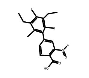 CCc1c(I)c(CC)c(I)c(-c2ccc(C(=O)O)c([N+](=O)[O-])c2)c1I